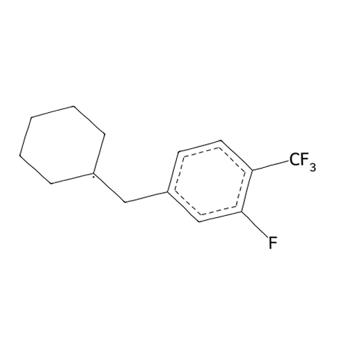 Fc1cc(C[C]2CCCCC2)ccc1C(F)(F)F